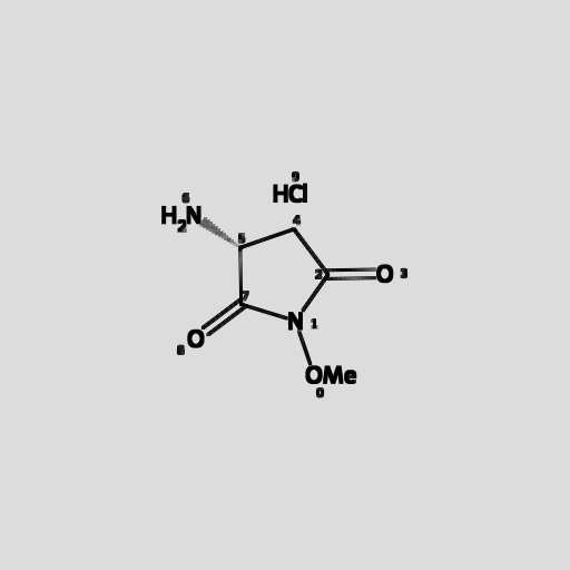 CON1C(=O)C[C@@H](N)C1=O.Cl